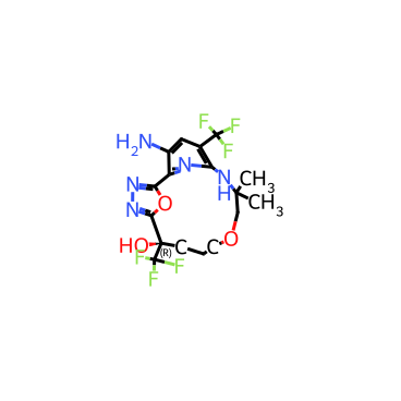 CC1(C)COCCC[C@](O)(C(F)(F)F)c2nnc(o2)-c2nc(c(C(F)(F)F)cc2N)N1